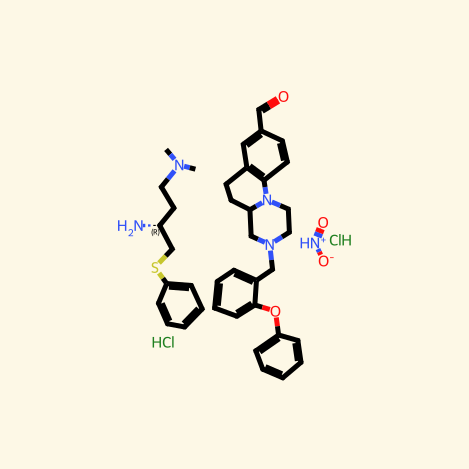 CN(C)CC[C@@H](N)CSc1ccccc1.Cl.Cl.O=Cc1ccc2c(c1)CCC1CN(Cc3ccccc3Oc3ccccc3)CCN21.O=[NH+][O-]